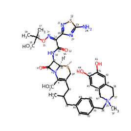 CC(CC1=C(C(=O)O)N2C(=O)[C@@H](NC(=O)/C(=N\OC(C)(C)C(=O)O)c3nsc(N)n3)[C@H]2SC1)Cc1ccc(C[N+]2(C)CCc3cc(O)c(O)cc3C2)cc1